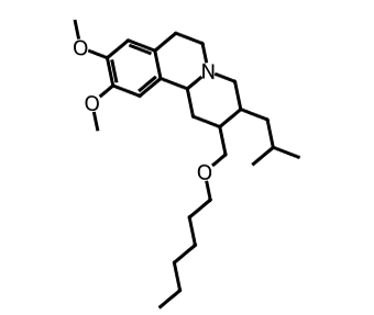 CCCCCCOCC1CC2c3cc(OC)c(OC)cc3CCN2CC1CC(C)C